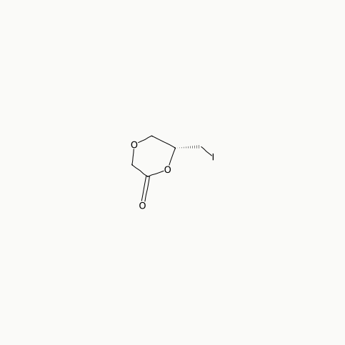 O=C1COC[C@H](CI)O1